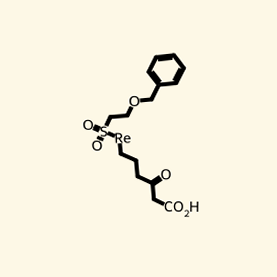 O=C(O)CC(=O)CC[CH2][Re][S](=O)(=O)CCOCc1ccccc1